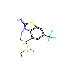 CC[S@+]([O-])[C@@H]1CCn2c(=N)sc3cc(C(F)(F)F)cc1c32